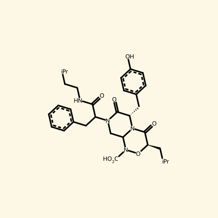 CC(C)CCNC(=O)C(Cc1ccccc1)N1CC2N(C(=O)O)O[C@H](CC(C)C)C(=O)N2[C@@H](Cc2ccc(O)cc2)C1=O